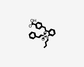 CCCCN(c1ccccc1CCc1ccc(C(=O)O)cc1)S(=O)(=O)C=Cc1ccccc1